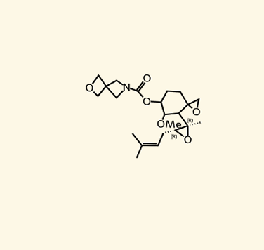 COC1C(OC(=O)N2CC3(COC3)C2)CCC2(CO2)C1[C@@]1(C)O[C@@H]1CC=C(C)C